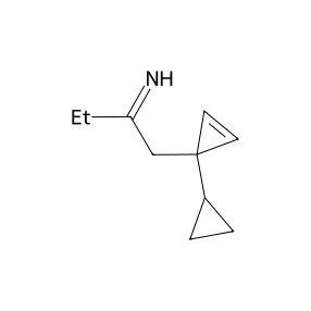 CCC(=N)CC1(C2CC2)C=C1